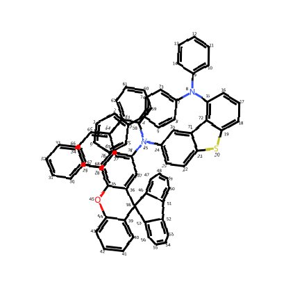 c1ccc(-c2ccc(N(c3ccccc3)c3cccc4sc5ccc(N(c6cc(-c7ccccc7)c7c(c6)C6(c8ccccc8O7)c7ccccc7-c7ccccc76)c6ccccc6-c6ccccc6)cc5c34)cc2)cc1